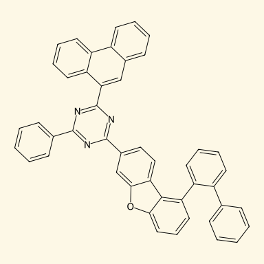 c1ccc(-c2nc(-c3ccc4c(c3)oc3cccc(-c5ccccc5-c5ccccc5)c34)nc(-c3cc4ccccc4c4ccccc34)n2)cc1